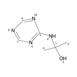 CC(C)(O)Nc1ncncn1